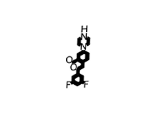 O=c1oc(-c2cc(F)cc(F)c2)cc2ccc(N3CCNCC3)cc12